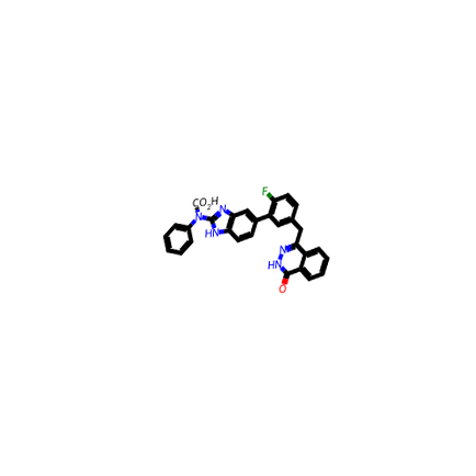 O=C(O)N(c1ccccc1)c1nc2cc(-c3cc(Cc4n[nH]c(=O)c5ccccc45)ccc3F)ccc2[nH]1